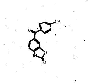 N#Cc1ccc(C(=O)c2ccc3[nH]c(=O)oc3c2)cc1